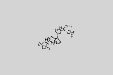 Cc1nc2ncc(-c3ccn4nc(NCC5(C)CC5)ncc34)cc2n1C1CC(F)(F)C1